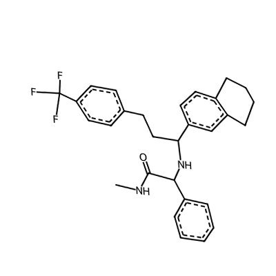 CNC(=O)C(NC(CCc1ccc(C(F)(F)F)cc1)c1ccc2c(c1)CCCC2)c1ccccc1